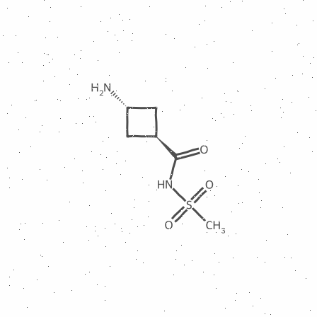 CS(=O)(=O)NC(=O)[C@H]1C[C@H](N)C1